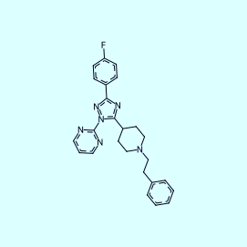 Fc1ccc(-c2nc(C3CCN(CCc4ccccc4)CC3)n(-c3ncccn3)n2)cc1